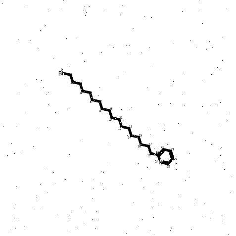 BrCCCCCCCCCCCCCCCCCCc1ccccn1